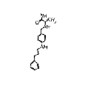 CC(NCc1ccc(NCCCc2ccccc2)cc1)C(N)=O